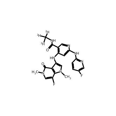 [2H]C([2H])([2H])NC(=O)c1cnc(Nc2ccc(F)cn2)cc1Nc1cn(C)c2c(F)cn(C)c(=O)c12